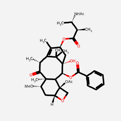 CO[C@H]1C[C@H]2OC[C@@]2(OC(C)=O)C2[C@H](OC(=O)c3ccccc3)[C@]3(O)C[C@H](OC(=O)[C@H](C)[C@H](C)NC(C)=O)C(C)=C([C@@H](C)C(=O)[C@@]21C)C3(C)C